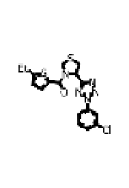 CCc1ccc(C(=O)N2CSCC2c2nnn(-c3cccc(Cl)c3)n2)s1